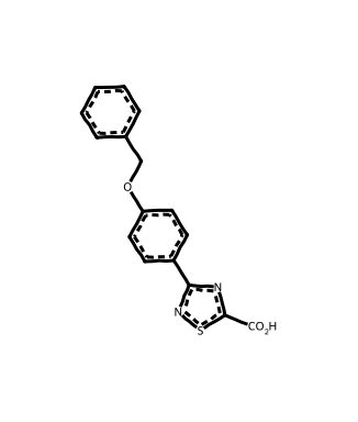 O=C(O)c1nc(-c2ccc(OCc3ccccc3)cc2)ns1